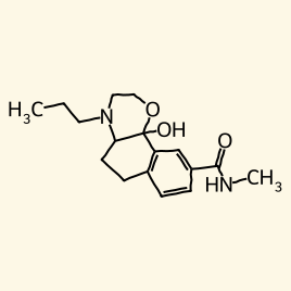 CCCN1CCOC2(O)c3cc(C(=O)NC)ccc3CCC12